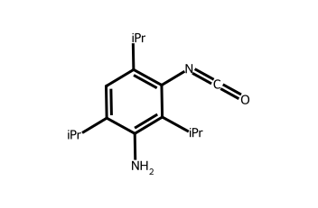 CC(C)c1cc(C(C)C)c(N=C=O)c(C(C)C)c1N